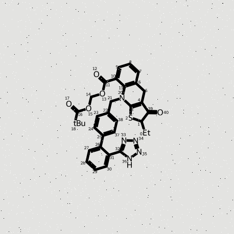 CCC1SC2=C(Cc3cccc(C(=O)OCOC(=O)C(C)(C)C)c3N2Cc2ccc(-c3ccccc3-c3nnn[nH]3)cc2)C1=O